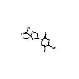 CC[C@]1(C(=O)O)O[C@@H](n2cc(F)c(N)nc2=O)CS1